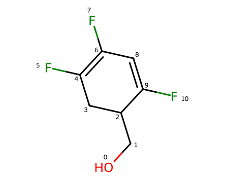 OCC1CC(F)=C(F)C=C1F